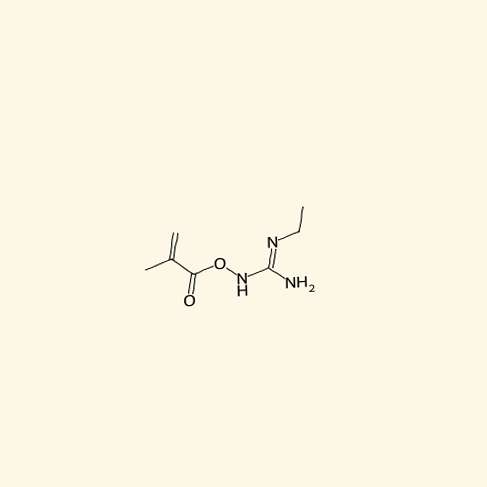 C=C(C)C(=O)ONC(N)=NCC